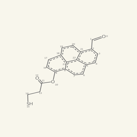 O=Cc1ccc2ccc3c(OC(=O)CCS)ccc4ccc1c2c43